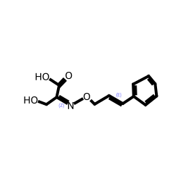 O=C(O)/C(CO)=N\OC/C=C/c1ccccc1